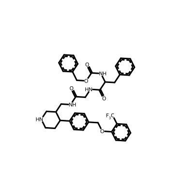 O=C(CNC(=O)C(Cc1ccccc1)NC(=O)OCc1ccccc1)NCC1CNCCC1c1ccc(COc2ccccc2C(F)(F)F)cc1